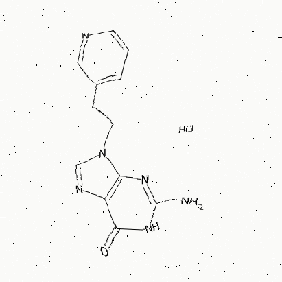 Cl.Nc1nc2c(ncn2CCc2cccnc2)c(=O)[nH]1